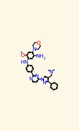 COc1cc(N2CCOCC2)c(N)cc1Nc1ccc(-c2nccc(-n3cc(CN(C)C)c(-c4ccccc4)n3)n2)cc1